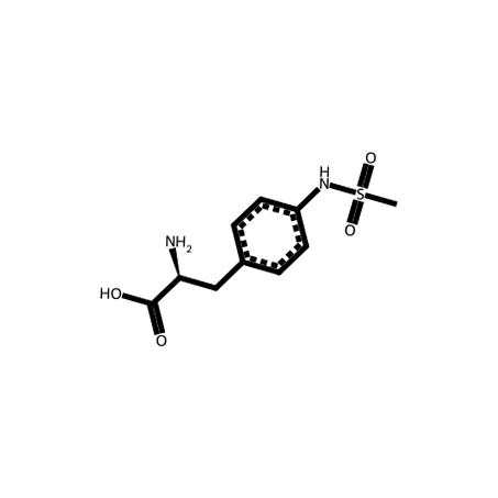 CS(=O)(=O)Nc1ccc(C[C@H](N)C(=O)O)cc1